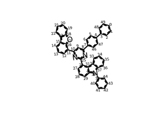 c1ccc(-c2ccc(-c3cc(-c4cccc5c4oc4ccccc45)nc(-c4cccc5c4c4ccccc4n5-c4ccccc4)n3)cc2)cc1